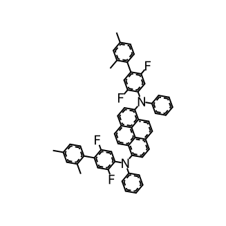 Cc1ccc(-c2cc(F)c(N(c3ccccc3)c3ccc4ccc5c(N(c6ccccc6)c6cc(F)c(-c7ccc(C)cc7C)cc6F)ccc6ccc3c4c65)cc2F)c(C)c1